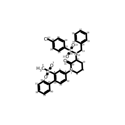 CS(=O)(=O)c1cc(N2CCCC(N(Cc3ccccc3)S(=O)(=O)c3ccc(Cl)cc3)C2=O)ccc1-c1ccccc1